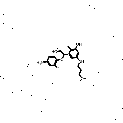 Cc1c(O)cc(NCCCO)cc1C(CO)Oc1ccc(N)cc1O